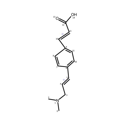 CN(C)C/C=C/c1ccc(/C=C/C(=O)O)cc1